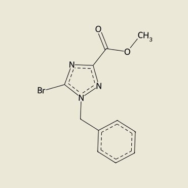 COC(=O)c1nc(Br)n(Cc2ccccc2)n1